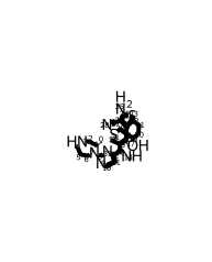 C[C@H]1CNCCCN1c1nccc(C(=N)C2=C(O)C3(CCCc4sc(N)c(C#N)c43)CSC2)n1